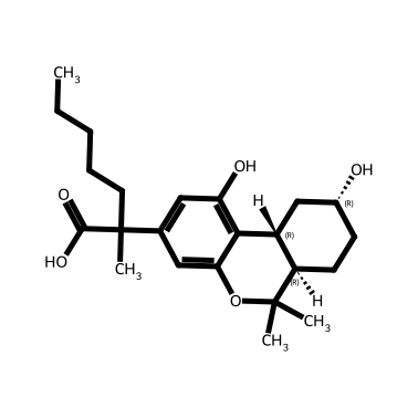 CCCCCC(C)(C(=O)O)c1cc(O)c2c(c1)OC(C)(C)[C@@H]1CC[C@@H](O)C[C@@H]21